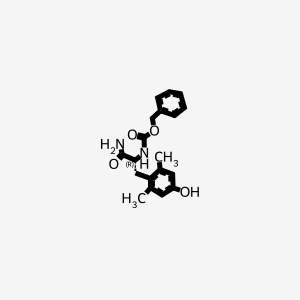 Cc1cc(O)cc(C)c1C[C@@H](NC(=O)OCc1ccccc1)C(N)=O